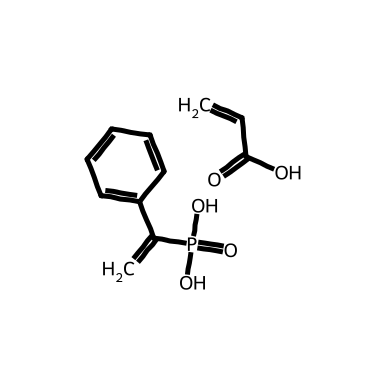 C=C(c1ccccc1)P(=O)(O)O.C=CC(=O)O